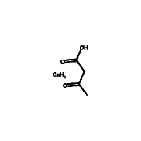 CC(=O)CC(=O)O.[GaH3]